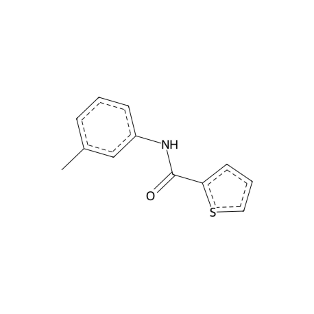 Cc1cccc(NC(=O)c2cccs2)c1